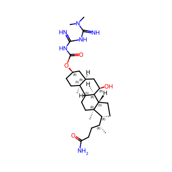 C[C@H](CCC(N)=O)[C@H]1CC[C@H]2[C@@H]3[C@H](O)C[C@@H]4C[C@H](OC(=O)NC(=N)NC(=N)N(C)C)CC[C@]4(C)[C@H]3CC[C@]12C